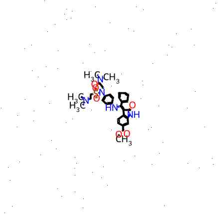 COC(=O)c1ccc2c(c1)NC(=O)/C2=C(/Nc1ccc(N(CC(=O)N(C)C)S(=O)(=O)CCN(C)C)cc1)c1ccccc1